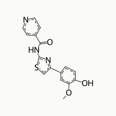 COc1cc(-c2csc(NC(=O)c3ccncc3)n2)ccc1O